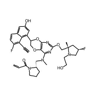 C#Cc1c(F)ccc2cc(O)cc(C3COc4c(nc(OC[C@]5(C)C[C@@H](F)CN5CCO)nc4N(C)C[C@@H]4CCCN4C(=O)C=C)O3)c12